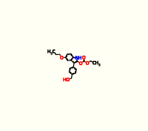 CCCOc1ccc2[nH]c(OC(=O)OCC)c(-c3ccc(CO)cc3)c2c1